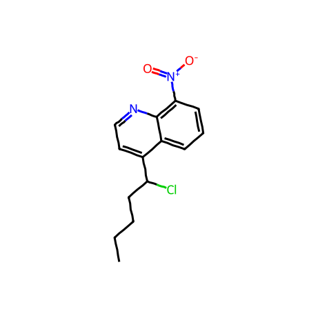 CCCCC(Cl)c1ccnc2c([N+](=O)[O-])cccc12